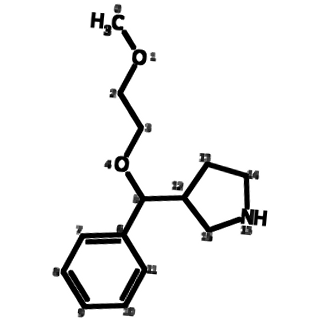 COCCOC(c1ccccc1)C1CCNC1